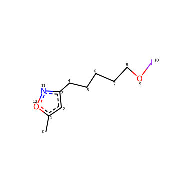 Cc1cc(CCCCCOI)no1